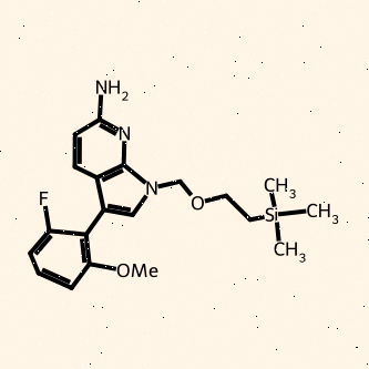 COc1cccc(F)c1-c1cn(COCC[Si](C)(C)C)c2nc(N)ccc12